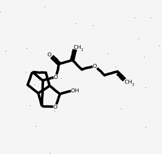 C=CCOCC(=C)C(=O)OC1C2CC3C(O)OC1C3C2